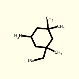 CC(C)(C)CC1(C)CC(N)CC(C)(C)C1